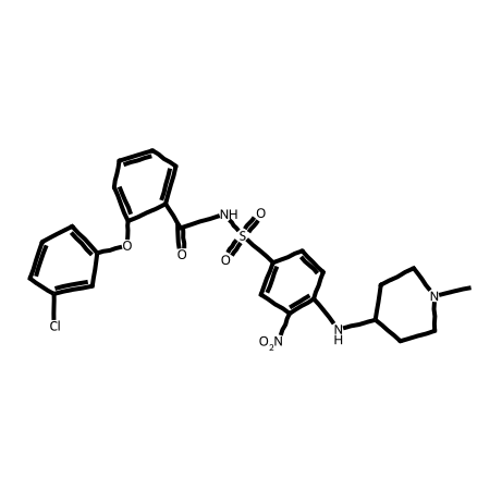 CN1CCC(Nc2ccc(S(=O)(=O)NC(=O)c3ccccc3Oc3cccc(Cl)c3)cc2[N+](=O)[O-])CC1